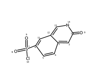 O=C1C=c2ccc(S(=O)(=O)Cl)cc2=C[N]1